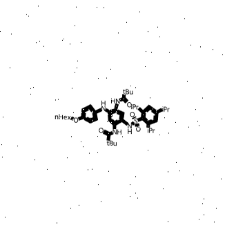 CCCCCCOc1ccc(Nc2cc(NC(=O)C(C)(C)C)c(NS(=O)(=O)c3c(C(C)C)cc(C(C)C)cc3C(C)C)cc2NC(=O)C(C)(C)C)cc1